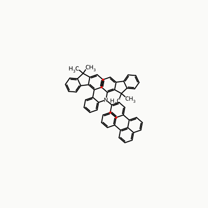 CC1(C)c2ccccc2-c2c(-c3ccccc3N(c3ccc(-c4cccc5cccc(-c6ccccc6)c45)cc3)c3cccc4c3C(C)(C)c3ccccc3-4)cccc21